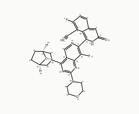 C#Cc1c(F)ccc2cc(=O)[nH]c(-c3ncc4c(N5C[C@H]6CC[C@@H](C5)O6)nc(N5CCOCC5)nc4c3F)c12